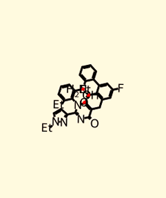 CCc1cccc(CC)c1-n1c(-c2ccn(CC)n2)nc(=O)c(Cc2cc(F)cc(-c3ccccc3F)c2C(N)=O)c1O